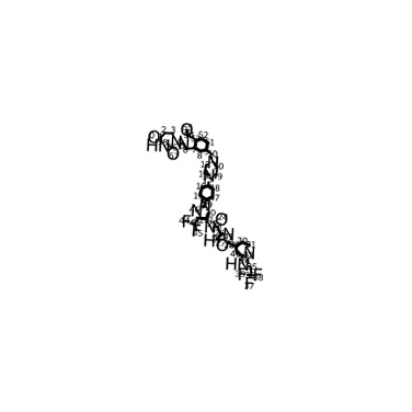 O=C1CCN(N2Cc3cc(CN4CCN(c5ccc(-n6cc(NC(=O)c7coc(-c8ccnc(NCC(F)(F)F)c8)n7)c(C(F)F)n6)cc5)CC4)ccc3C2=O)C(=O)N1